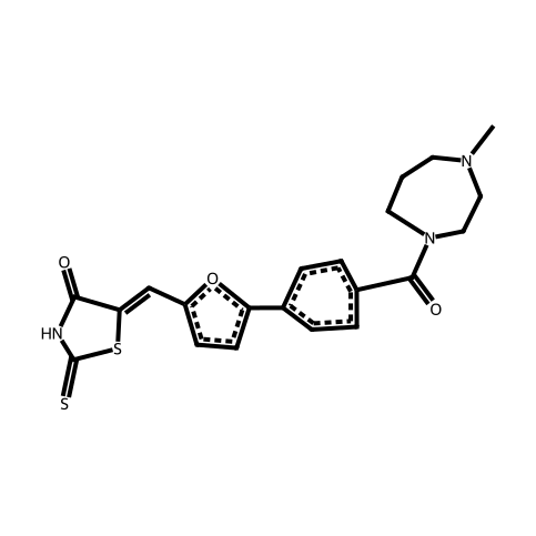 CN1CCCN(C(=O)c2ccc(-c3ccc(/C=C4\SC(=S)NC4=O)o3)cc2)CC1